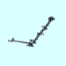 O=C(O)CCCCCCCCCCCCCCCCC(=O)NC(CCC(=O)NCCOCCOCC(=O)NCCOCCOCC(=O)NCCOCCOCC(=O)ON1C(=O)CCC1=O)C(=O)O